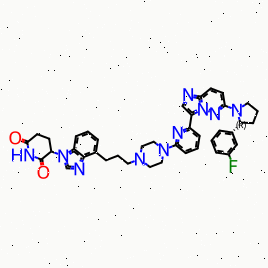 O=C1CCC(n2cnc3c(CCCN4CCN(c5cccc(-c6cnc7ccc(N8CCC[C@@H]8c8cccc(F)c8)nn67)n5)CC4)cccc32)C(=O)N1